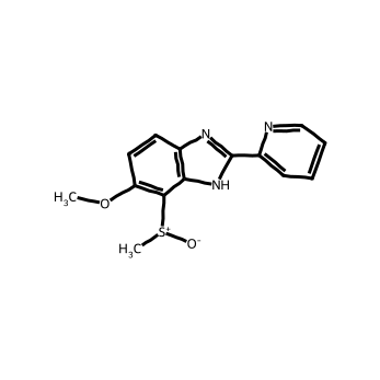 COc1ccc2nc(-c3ccccn3)[nH]c2c1[S+](C)[O-]